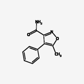 Cc1onc(C(N)=O)c1-c1ccccc1